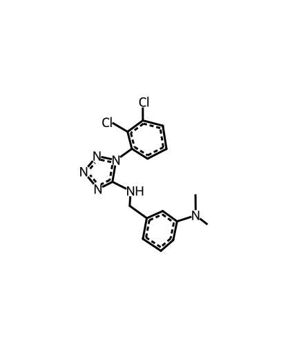 CN(C)c1cccc(CNc2nnnn2-c2cccc(Cl)c2Cl)c1